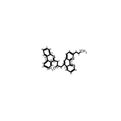 CCCc1ccc2cc(CC(C)Cc3nc4ccccc4c4ccccc34)c3cccnc3c2n1